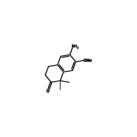 COc1cc2c(cc1N)CCC(=O)C2(C)C